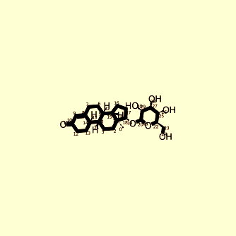 C[C@]12CC[C@H]3[C@@H](CCC4=CC(=O)CC[C@@H]43)[C@@H]1CC[C@@H]2OC1O[C@H](CO)[C@@H](O)[C@H](O)[C@H]1O